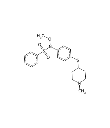 CON(c1ccc(SC2CCN(C)CC2)cc1)S(=O)(=O)c1ccccc1